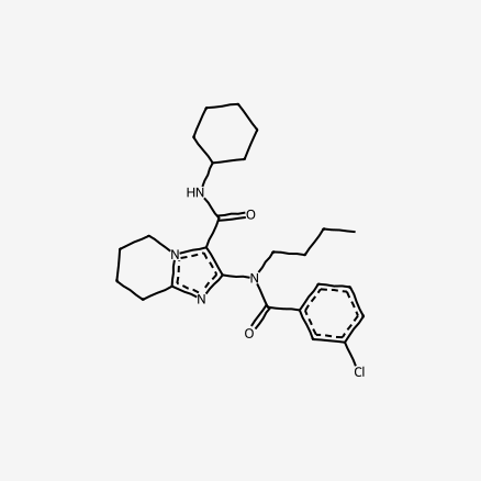 CCCCN(C(=O)c1cccc(Cl)c1)c1nc2n(c1C(=O)NC1CCCCC1)CCCC2